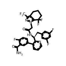 NC(=O)c1cc(-c2cccnc2[C@H](Cc2cc(F)cc(F)c2)NC(=O)Cn2nc(C(F)(F)F)c3c2C(F)(F)CCC3)ccc1F